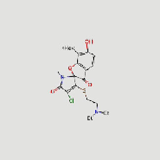 CCCCCCc1c(O)ccc2c1OC1(C2=O)C(SCCN(CC)CC)=C(Cl)C(=O)N1C